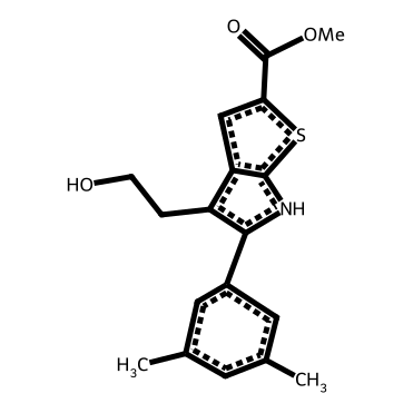 COC(=O)c1cc2c(CCO)c(-c3cc(C)cc(C)c3)[nH]c2s1